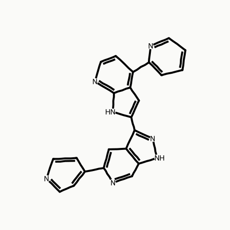 c1ccc(-c2ccnc3[nH]c(-c4n[nH]c5cnc(-c6ccncc6)cc45)cc23)nc1